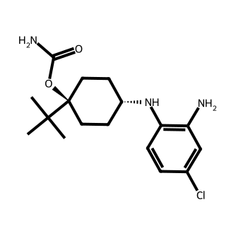 CC(C)(C)[C@]1(OC(N)=O)CC[C@H](Nc2ccc(Cl)cc2N)CC1